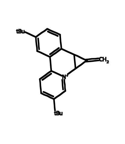 C=C1C2c3ccc(C(C)(C)C)cc3-c3ccc(C(C)(C)C)c[n+]3C12